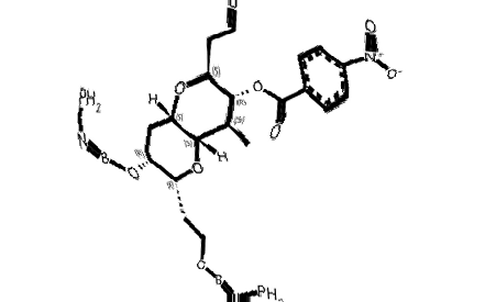 C[C@@H]1[C@@H](OC(=O)c2ccc([N+](=O)[O-])cc2)[C@H](CC=O)O[C@H]2C[C@@H](OB=NP)[C@@H](CCOB=NP)O[C@@H]12